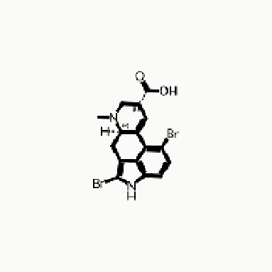 CN1C[C@H](C(=O)O)C=C2c3c(Br)ccc4[nH]c(Br)c(c34)C[C@H]21